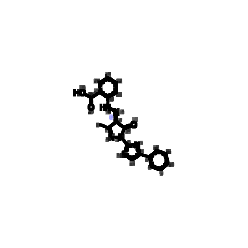 CC1=NN(c2nc(-c3ccccc3)cs2)C(=O)/C1=N/Nc1ccccc1C(=O)O